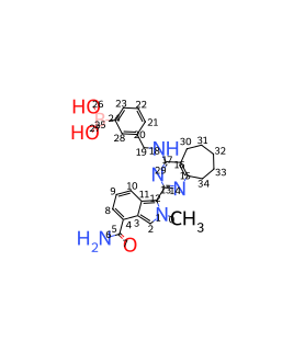 Cn1cc2c(C(N)=O)cccc2c1-c1nc2c(c(NCc3cccc(B(O)O)c3)n1)CCCCC2